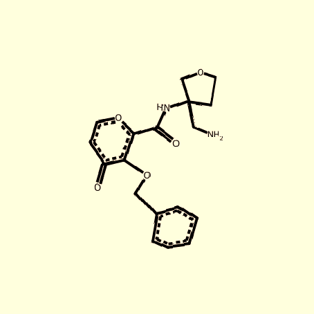 NCC1(NC(=O)c2occc(=O)c2OCc2ccccc2)CCOC1